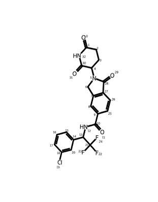 O=C1CCC(N2Cc3cc(C(=O)NC(c4cccc(Cl)c4)C(F)(F)F)ccc3C2=O)C(=O)N1